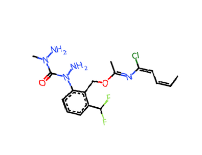 C\C=C/C=C(Cl)\N=C(/C)OCc1c(C(F)F)cccc1N(N)C(=O)N(C)N